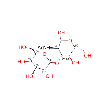 CC(=O)N[C@H]1C(O)O[C@H](CO)[C@@H](O)[C@@H]1O[C@@H]1O[C@H](CO)[C@H](O)[C@H](O)[C@H]1O